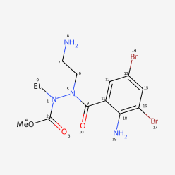 CCN(C(=O)OC)N(CCN)C(=O)c1cc(Br)cc(Br)c1N